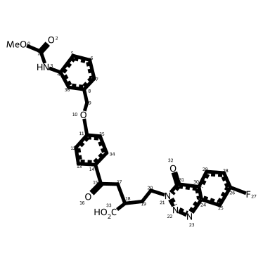 COC(=O)Nc1cccc(COc2ccc(C(=O)CC(CCn3nnc4cc(F)ccc4c3=O)C(=O)O)cc2)c1